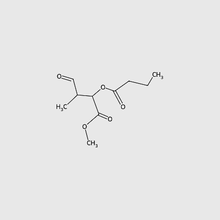 CCCC(=O)OC(C(=O)OC)C(C)C=O